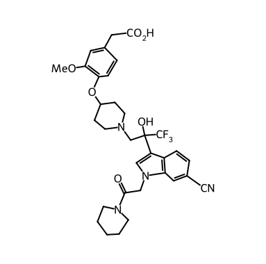 COc1cc(CC(=O)O)ccc1OC1CCN(CC(O)(c2cn(CC(=O)N3CCCCC3)c3cc(C#N)ccc23)C(F)(F)F)CC1